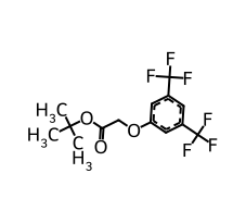 CC(C)(C)OC(=O)COc1cc(C(F)(F)F)cc(C(F)(F)F)c1